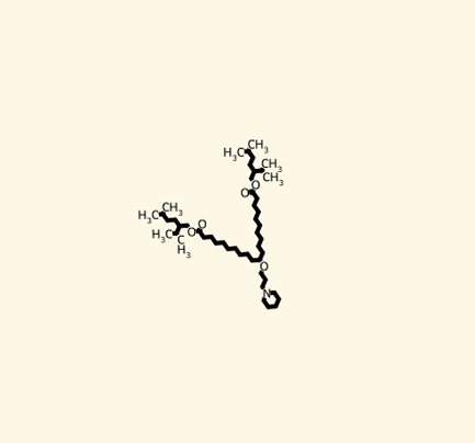 CC(C)CCC(COC(=O)CCCCCCCCCC(CCCCCCCCCC(=O)OCC(CCC(C)C)C(C)C)OCCCN1CCCCC1)C(C)C